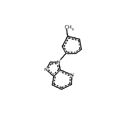 Cc1cccc(-n2cnc3cccnc32)c1